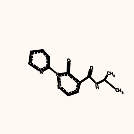 CC(C)NC(=O)c1ccnn(-c2ccccn2)c1=O